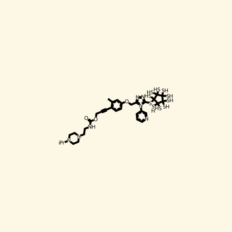 Cc1cc(OCc2nnc(SC3(S)C(S)(S)C(S)(S)C(S)(S)C3(S)S)n2-c2cccnc2)ccc1C#CCOC(=O)NCCN1CCN(C(C)C)CC1